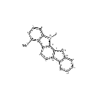 CCCCc1cccc2c1c1ccc3c4ccccc4oc3c1n2C